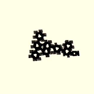 N#Cc1ccc(-c2ccc(-c3ccc4c5c(cccc35)-c3c(-c5ccccc5)ccc(-c5ccccc5)c3-4)cc2)c2ccccc12